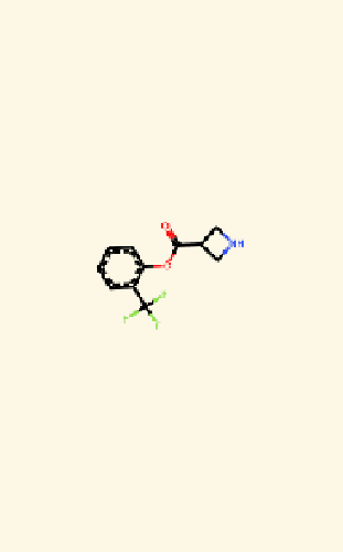 O=C(Oc1ccccc1C(F)(F)F)C1CNC1